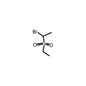 CCS(=O)(=O)C(C)Br